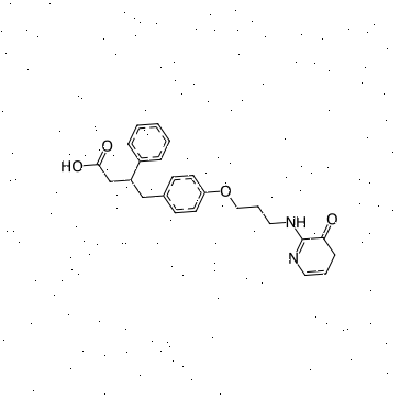 O=C(O)CC(Cc1ccc(OCCCNC2=NC=CCC2=O)cc1)c1ccccc1